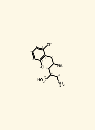 CCC(Cc1c(Cl)cccc1Cl)CC(CN)C(=O)O